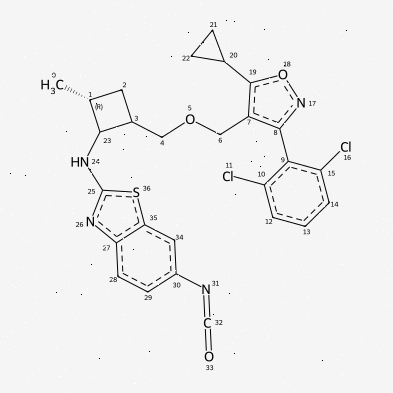 C[C@@H]1CC(COCc2c(-c3c(Cl)cccc3Cl)noc2C2CC2)C1Nc1nc2ccc(N=C=O)cc2s1